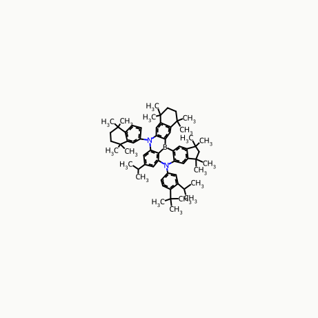 CC(C)c1cc2c3c(c1)N(c1ccc(C(C)(C)C)c(C(C)C)c1)c1cc4c(cc1B3c1cc3c(cc1N2c1ccc2c(c1)C(C)(C)CCC2(C)C)C(C)(C)CCC3(C)C)C(C)(C)CC4(C)C